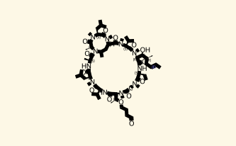 C/C=C/C[C@@H](C)[C@@H](O)[C@@H]1C(=O)N[C@@H](CC)C(=O)N(C)CC(=O)N(C)[C@@H]([C@@H](C)OCCCC=O)C(=O)N[C@@H](C(C)C)C(=O)N(C)[C@@H](CC(C)C)C(=O)N[C@@H](C)C(=O)N2C(C)C[C@@H](C(=O)N(C)[C@@H](C(C)C)C(=O)N1C)N(C)C(=O)[C@H](CC(C)C)N(C)C(=O)[C@H]2C